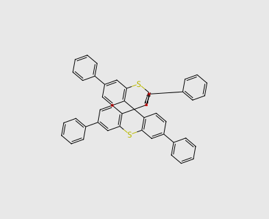 c1ccc(-c2ccc3c(c2)Sc2cc(-c4ccccc4)ccc2C32c3ccc(-c4ccccc4)cc3Sc3cc(-c4ccccc4)ccc32)cc1